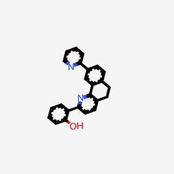 Oc1ccccc1-c1ccc2c(n1)-c1cc(-c3ccccn3)ccc1CC2